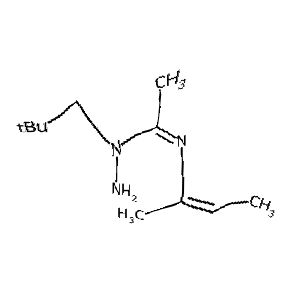 C/C=C(C)\N=C(\C)N(N)CC(C)(C)C